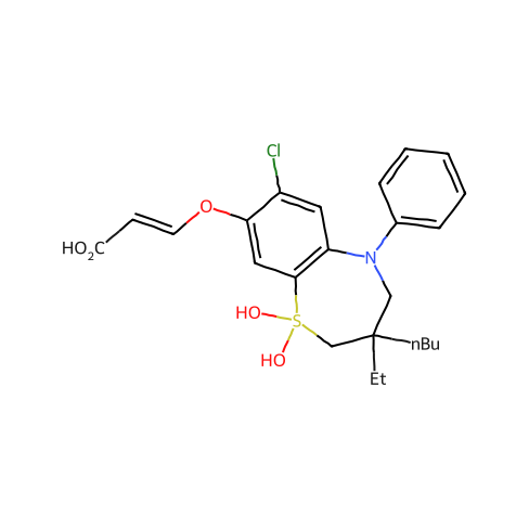 CCCCC1(CC)CN(c2ccccc2)c2cc(Cl)c(OC=CC(=O)O)cc2S(O)(O)C1